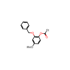 CCC(=O)Oc1ccc(OC)cc1OCc1ccccc1